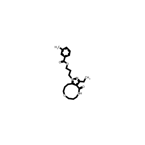 CCc1nn(CCCOC(=O)c2cccc(C)c2)c2c1C(=O)NCCCOCCC2